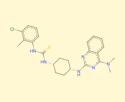 Cc1c(Cl)cccc1NC(=S)N[C@H]1CC[C@@H](Nc2nc(N(C)C)c3ccccc3n2)CC1